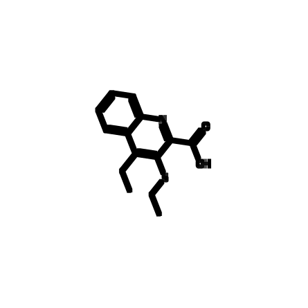 CCSc1c(C(=O)O)nc2ccccc2c1CC